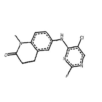 CN1C(=O)CCc2cc(Nc3nc(F)ncc3Cl)ccc21